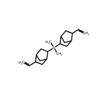 C=CC1CC2CC1CC2[Si](C)(C)C1CC2CC1CC2C=C